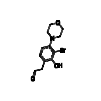 O=CCc1ccc(N2CCOCC2)c(Br)c1O